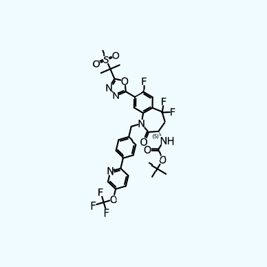 CC(C)(C)OC(=O)N[C@H]1CC(F)(F)c2cc(F)c(-c3nnc(C(C)(C)S(C)(=O)=O)o3)cc2N(Cc2ccc(-c3ccc(OC(F)(F)F)cn3)cc2)C1=O